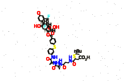 CCCCC(C)SC(CC(=O)O)C(=O)NCCC(=O)N[C@@H](C)C(=O)N[C@@H](C)C(=O)Nc1cccc(Sc2ccc([C@@H]3O[C@@H]4C[C@H]5[C@@H]6C[C@H](F)C7=CC(=O)C=C[C@]7(C)[C@@]6(F)[C@@H](O)C[C@]5(C)[C@]4(C(=O)CO)O3)cc2)c1